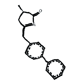 C[C@@H]1CC(Cc2ccc(-c3ccccc3)cc2)=NC1=O